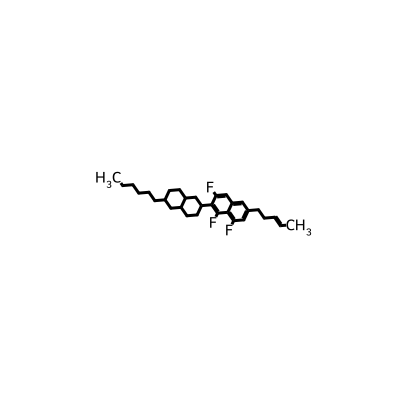 CC=CCCc1cc(F)c2c(F)c(C3CCC4CC(CCCCCC)CCC4C3)c(F)cc2c1